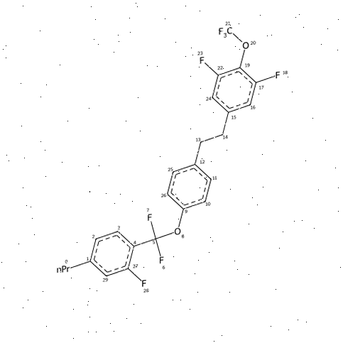 CCCc1ccc(C(F)(F)Oc2ccc(CCc3cc(F)c(OC(F)(F)F)c(F)c3)cc2)c(F)c1